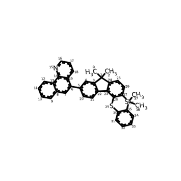 CC1(C)c2cc(-c3cc4ccccc4c4ncccc34)ccc2-c2c1ccc1c2Sc2ccccc2[Si]1(C)C